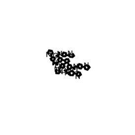 CN(C(=O)c1cc(C(=O)N(C)c2ccc(-c3ccccn3)cc2)cc(-c2cccc(-c3cc(C(=O)N(C)c4ccc(-c5ccccn5)cc4)cc(C(=O)N(C)c4ccc(-c5ccccn5)cc4)c3)c2-c2ccc(-c3ncccn3)cc2)c1)c1ccc(-c2ccccn2)cc1